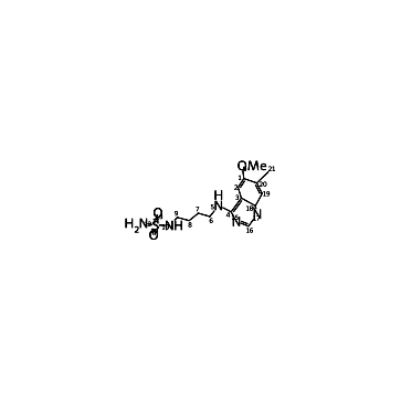 COc1cc2c(NCCCCNS(N)(=O)=O)ncnc2cc1C